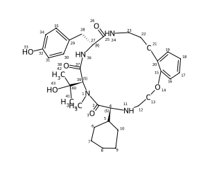 CN1C(=O)[C@H](C2CCCCC2)NCCOc2ccccc2CCCNC(=O)[C@@H](Cc2ccc(O)cc2)NC(=O)[C@@H]1C(C)(C)O